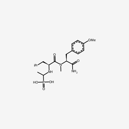 COc1ccc(C[C@@H](C(N)=O)N(C)C(=O)[C@H](CC(C)C)NC(C)P(=O)(O)O)cc1